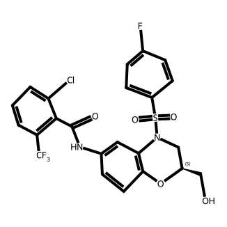 O=C(Nc1ccc2c(c1)N(S(=O)(=O)c1ccc(F)cc1)C[C@@H](CO)O2)c1c(Cl)cccc1C(F)(F)F